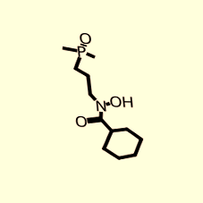 CP(C)(=O)CCCN(O)C(=O)C1CCCCC1